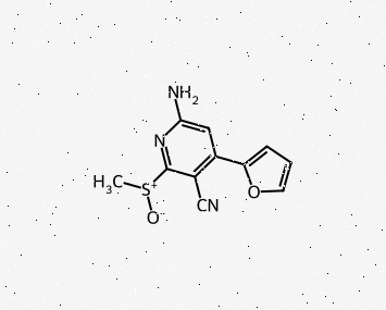 C[S+]([O-])c1nc(N)cc(-c2ccco2)c1C#N